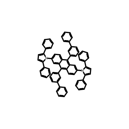 c1ccc(-c2cccc(-c3c4ccc(-n5c(-c6ccccc6)ccc5-c5ccccc5)cc4c(-c4cccc(-c5ccccc5)c4)c4ccc(-n5c(-c6ccccc6)ccc5-c5ccccc5)cc34)c2)cc1